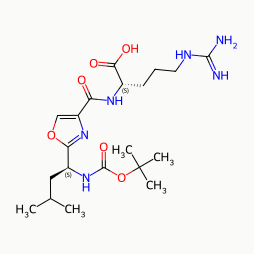 CC(C)C[C@H](NC(=O)OC(C)(C)C)c1nc(C(=O)N[C@@H](CCCNC(=N)N)C(=O)O)co1